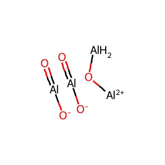 [Al+2][O][AlH2].[O]=[Al][O-].[O]=[Al][O-]